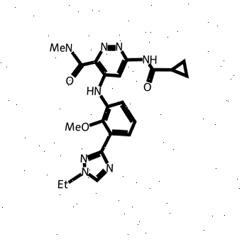 CCn1cnc(-c2cccc(Nc3cc(NC(=O)C4CC4)nnc3C(=O)NC)c2OC)n1